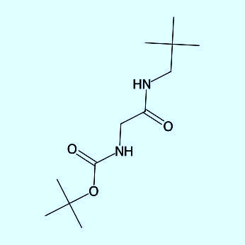 CC(C)(C)CNC(=O)CNC(=O)OC(C)(C)C